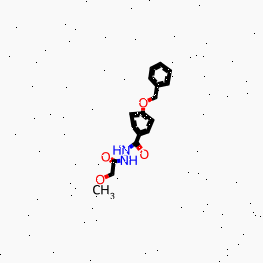 COCC(=O)NNC(=O)c1ccc(OCc2ccccc2)cc1